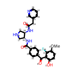 COc1ccc(O)c(C(=O)c2ccc(C(=O)N[C@@H]3CNC[C@H]3NC(=O)Cc3cccnc3)cc2)c1F